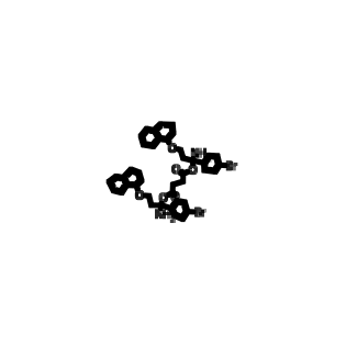 NC(CCOc1cccc2ccccc12)(OC(=O)CCC(=O)OC(N)(CCOc1cccc2ccccc12)c1ccc(Br)cc1)c1ccc(Br)cc1